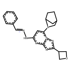 C(=N\Nc1cc(N2CC3CCC2C3)n2nc(C3COC3)nc2n1)/c1ccccc1